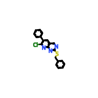 Clc1nc2nc(SCc3ccccc3)ncc2cc1-c1ccccc1